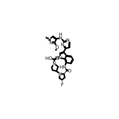 COc1nn(C)cc1Nc1nccc(-c2c[nH]c3c(NC(=O)[C@H]4C[C@H](F)CN4C4CCN(C(=O)O)C4)cccc23)n1